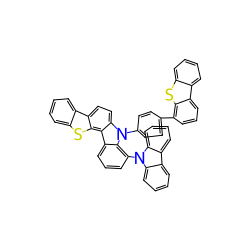 c1ccc2c(c1)sc1c(-c3ccc(-n4c5ccc6c7ccccc7sc6c5c5cccc(-n6c7ccccc7c7ccccc76)c54)cc3)cccc12